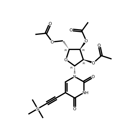 CC(=O)OC[C@H]1O[C@@H](n2cc(C#C[Si](C)(C)C)c(=O)[nH]c2=O)[C@H](OC(C)=O)[C@@H]1OC(C)=O